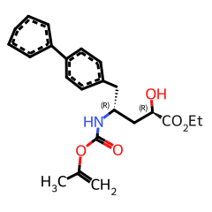 C=C(C)OC(=O)N[C@H](Cc1ccc(-c2ccccc2)cc1)C[C@@H](O)C(=O)OCC